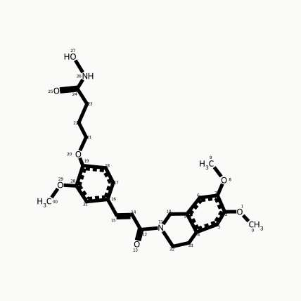 COc1cc2c(cc1OC)CN(C(=O)C=Cc1ccc(OCCCC(=O)NO)c(OC)c1)CC2